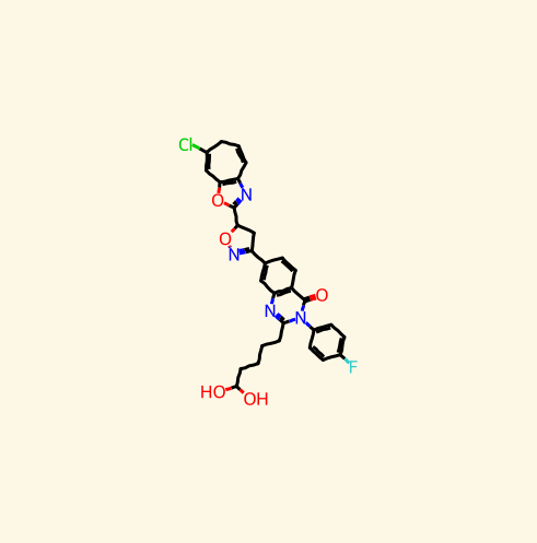 O=c1c2ccc(C3=NOC(c4nc5c(o4)C=C(Cl)CC=C5)C3)cc2nc(CCCCC(O)O)n1-c1ccc(F)cc1